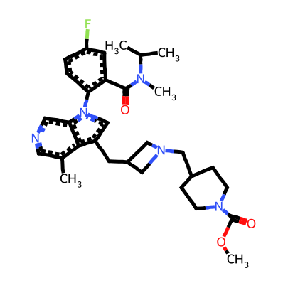 COC(=O)N1CCC(CN2CC(Cc3cn(-c4ccc(F)cc4C(=O)N(C)C(C)C)c4cncc(C)c34)C2)CC1